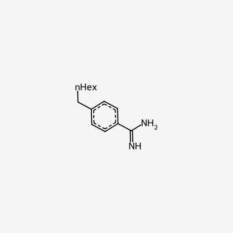 CCCCCCCc1ccc(C(=N)N)cc1